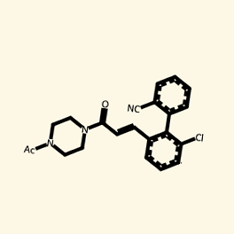 CC(=O)N1CCN(C(=O)/C=C/c2cc[c]c(Cl)c2-c2ccccc2C#N)CC1